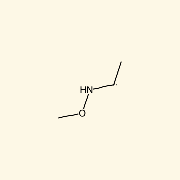 C[CH]NOC